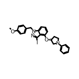 COc1ccc(Cn2nc(I)c3c(O[C@H]4CCN(c5ccccc5)C4)cccc32)cc1